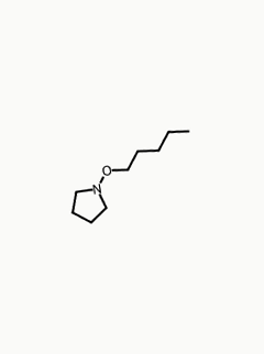 CCCCCON1CCCC1